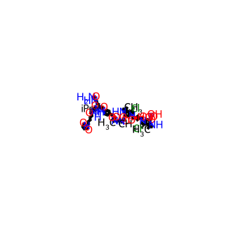 Cc1c[nH]c2c(OC(=O)N(C)CCN(C)C(=O)OCc3ccc(NC(=O)[C@H](CCCNC(N)=O)NC(=O)[C@@H](NC(=O)CCCCCN4C(=O)C=CC4=O)C(C)C)cc3)cc3c(c12)[C@H](CCl)CN3C(=O)C12CC(C(=O)N3C[C@@H](CCl)c4c3cc(OP(=O)(O)O)c3[nH]cc(C)c43)(C1)C2